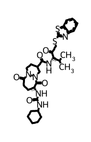 CC(C)[C@H](NC(=O)C1CCN2C(=O)CC[C@H](NC(=O)NC3CCCCC3)C(=O)N2C1)C(=O)CSc1nc2ccccc2s1